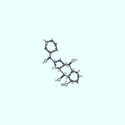 O=C(c1cccnc1)c1cc2c(s1)C(=O)c1c(O)cccc1C2=O